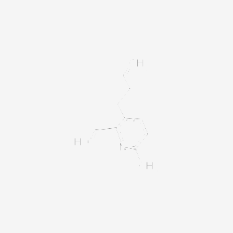 C=CCCc1ccc(C)nc1C=C